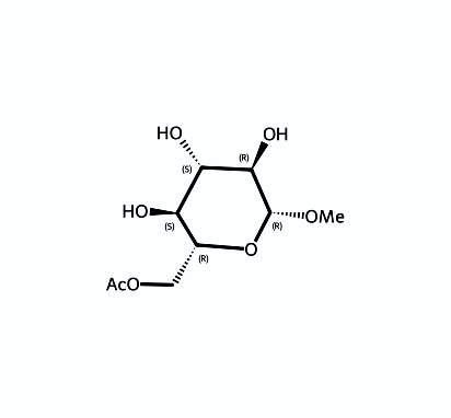 CO[C@@H]1O[C@H](COC(C)=O)[C@@H](O)[C@H](O)[C@H]1O